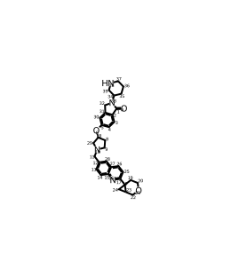 O=C1c2ccc(O[C@H]3CCN(Cc4ccc5nc(C67CCOCC6C7)ccc5c4)C3)cc2CN1C1CCCNC1